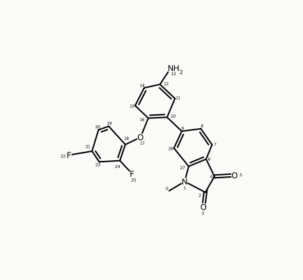 CN1C(=O)C(=O)c2ccc(-c3cc(N)ccc3Oc3ccc(F)cc3F)cc21